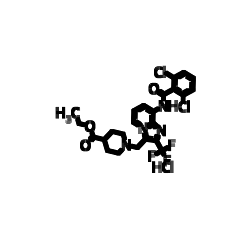 CCOC(=O)C1CCN(Cc2c(C(F)(F)F)nc3c(NC(=O)c4c(Cl)cccc4Cl)cccn23)CC1.Cl